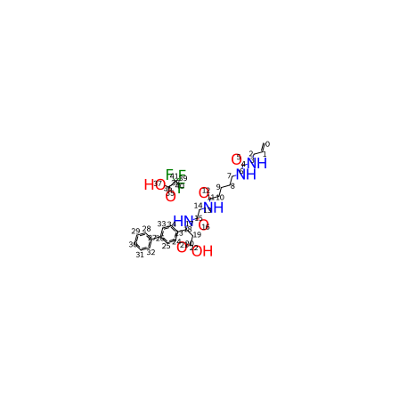 C=CCNC(=O)NCCCCC(=O)NCC(=O)NC(CC(=O)O)c1ccc(-c2ccccc2)cc1.O=C(O)C(F)(F)F